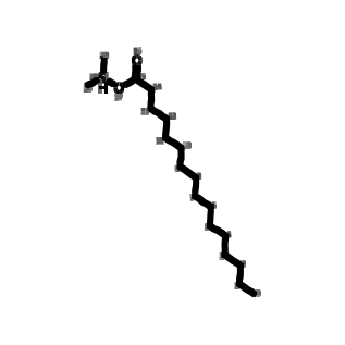 CCCCCCCCCCCCCCCC(=O)O[SiH](C)C